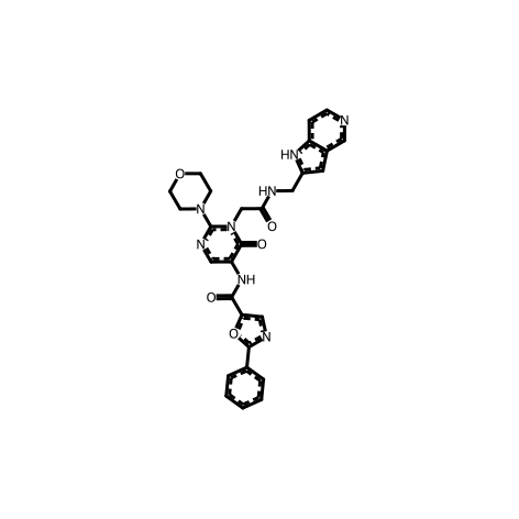 O=C(Cn1c(N2CCOCC2)ncc(NC(=O)c2cnc(-c3ccccc3)o2)c1=O)NCc1cc2cnccc2[nH]1